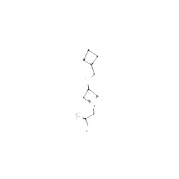 FC(F)CN1CC(SCC2CCC2)C1